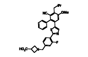 COc1cc(-c2cnc(-c3ccc(CN4CC(C(=O)O)C4)cc3F)s2)c(-c2ccccc2)c(C#N)c1CC(C)C